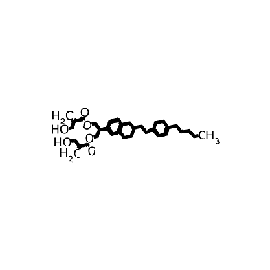 C=C(CO)C(=O)OCC(COC(=O)C(=C)CO)c1ccc2c(c1)CCC(CCC1=CC=C(CCCCC)CC1)C2